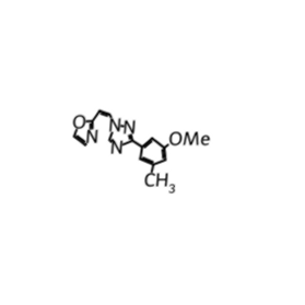 COc1cc(C)cc(-c2ncn(/C=C\c3ncco3)n2)c1